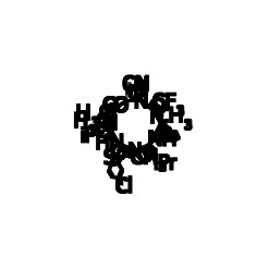 CC(C)CC[C@@H]1NC(=O)[C@H](CC2=CCCC2)N(C)C(=O)[C@H](CC(F)(F)F)NC(=O)[C@@H](CCC#N)OC(=O)[C@H](C)N(C)C(=O)[C@H](CC(C)C)NC(=O)[C@H](Cc2csc3ccc(Cl)cc23)N(C)C1=O